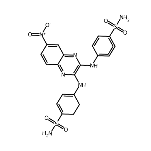 NS(=O)(=O)C1=C=C=C(Nc2nc3cc([N+](=O)[O-])ccc3nc2NC2=CC=C(S(N)(=O)=O)CC2)C=C1